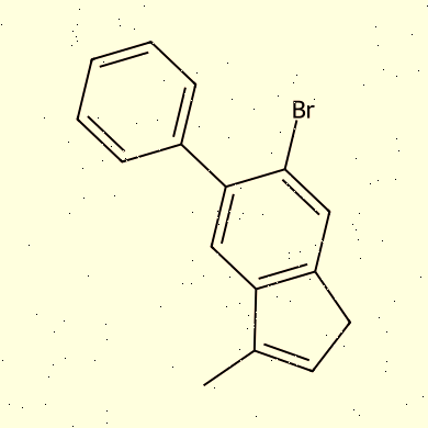 CC1=CCc2cc(Br)c(-c3ccccc3)cc21